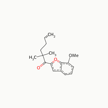 C=CCCC(C)(C)C(=O)c1cc2cccc(OC)c2o1